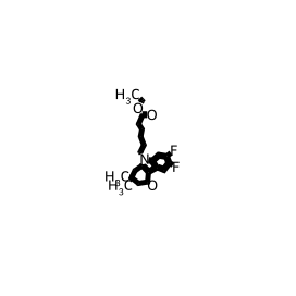 CCOC(=O)CCCCCn1c2c(c3cc(F)c(F)cc31)C(=O)CC(C)(C)C2